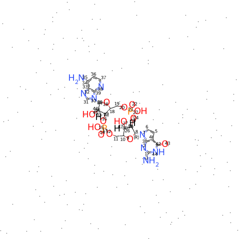 Nc1nc2c(ccn2[C@@H]2OC3COP(=O)(O)O[C@@H]4C(COP(=O)(O)O[C@@H]2[C@@H]3O)O[C@@H](n2cnc3c(N)ccnc32)[C@@H]4O)c(=O)[nH]1